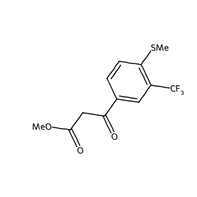 COC(=O)CC(=O)c1ccc(SC)c(C(F)(F)F)c1